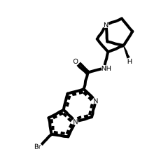 O=C(NC1CN2CC[C@H]1C2)c1cc2cc(Br)cn2cn1